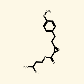 COc1ccc(CCC2=NC2C(=O)OCCC(C)C)cc1